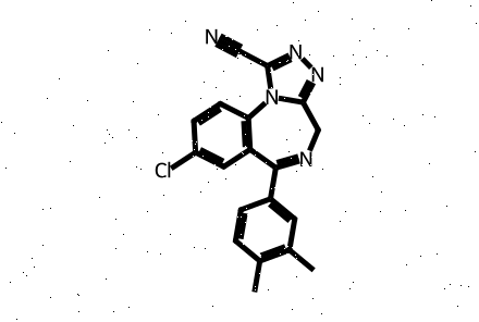 Cc1ccc(C2=NCc3nnc(C#N)n3-c3ccc(Cl)cc32)cc1C